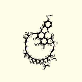 COc1ccc2nc3c4c5c6c(C)c(O)c4c(=O)c(c-3oc2c1)NC(=O)/C(C)=C\C=C\[C@H](C)[C@H](O)[C@@H](C)[C@@H](O)[C@@H](C)[C@H](OC(C)=O)[C@H](C)[C@@H](OC)/C=C/O[C@@](C)(O6)C5=O